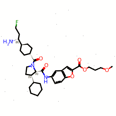 COCCCOC(=O)c1cc2cc(NC(=O)[C@@H]3[C@H](C4CCCCC4)CCN3C(=O)[C@H]3CC[C@H]([C@H](N)CCF)CC3)ccc2o1